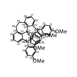 COc1ccc2c(c1)c1cc(OC)ccc1n2-c1cccc2c1C(=O)c1c(cccc1-n1c3ccc(OC)cc3c3cc(OC)ccc31)CC2